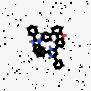 c1ccc(-c2cc(-c3ccc4oc5cccc(-c6ccc(-n7c(-c8ccccc8)nc8ccccc87)cc6)c5c4c3)nc(-c3ccccc3)n2)cc1